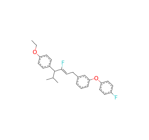 CCOc1ccc(C(C(F)=CCc2cccc(Oc3ccc(F)cc3)c2)C(C)C)cc1